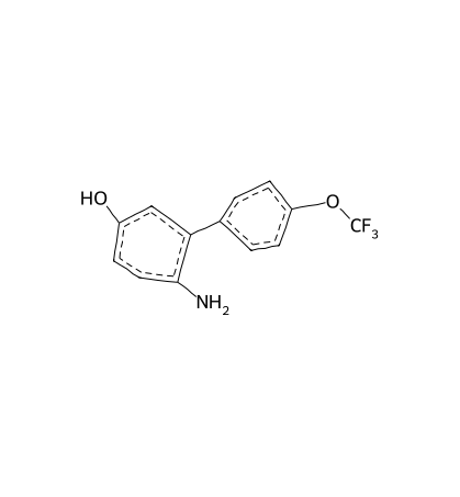 Nc1ccc(O)cc1-c1ccc(OC(F)(F)F)cc1